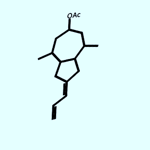 C=CC=C1CC2C(C)CC(OC(C)=O)CC(C)C2C1